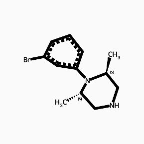 C[C@H]1CNC[C@H](C)N1c1cccc(Br)c1